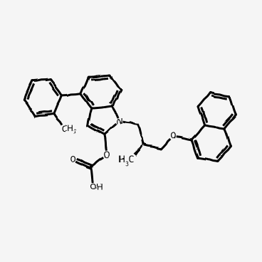 Cc1ccccc1-c1cccc2c1cc(OC(=O)O)n2C[C@H](C)COc1cccc2ccccc12